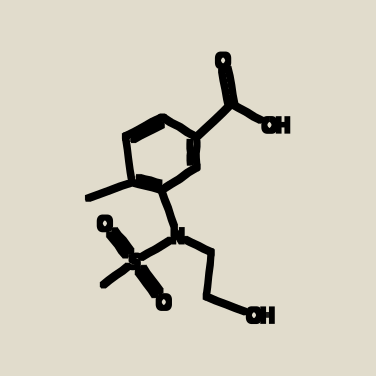 Cc1ccc(C(=O)O)cc1N(CCO)S(C)(=O)=O